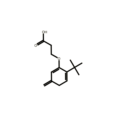 C=C1C=C(OCCC(=O)O)C(C(C)(C)C)=CC1